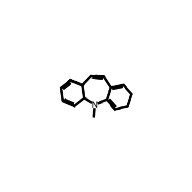 CN1C2=CCCC=C2C=CC2C=CC=CC21